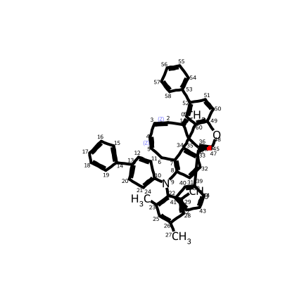 C=C1/C=C\C=C/Cc2c(N(c3ccc(-c4ccccc4)cc3)c3c(C)cc(C)cc3C)cccc2C12c1cc(-c3ccccc3)ccc1Oc1ccc(-c3ccccc3)cc12